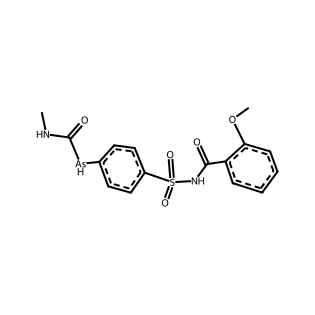 CNC(=O)[AsH]c1ccc(S(=O)(=O)NC(=O)c2ccccc2OC)cc1